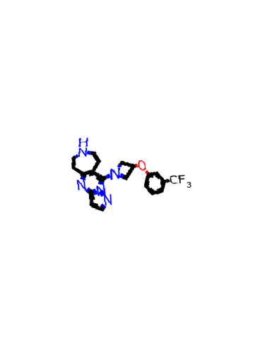 FC(F)(F)c1cccc(OC2CN(c3c4c(nc5ccnn35)CCNCC4)C2)c1